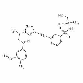 CCOc1cc(-c2cc(C(F)(F)F)n3ncc(C#Cc4cccc(S(=O)(=O)NC(C)(C)CO)c4)c3n2)ccc1C(F)(F)F